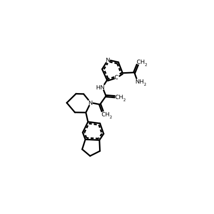 C=C(Nc1cncc(C(=C)N)c1)C(=C)N1CCCCC1c1ccc2c(c1)CCC2